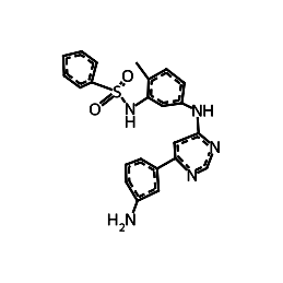 Cc1ccc(Nc2cc(-c3cccc(N)c3)ncn2)cc1NS(=O)(=O)c1ccccc1